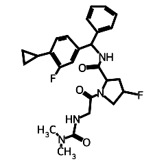 CN(C)C(=O)NCC(=O)N1CC(F)CC1C(=O)NC(c1ccccc1)c1ccc(C2CC2)c(F)c1